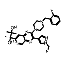 CC(C)(O)[C@](C)(O)c1cc2nc(N3CCN(Cc4ccccc4F)CC3)c(-c3cnn(CF)c3)nc2cn1